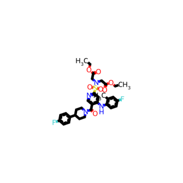 CCOC(=O)CN(CC(=O)OCC)S(=O)(=O)c1cc(Nc2ccc(F)cc2C)c(C(=O)N2CCC(c3ccc(F)cc3)CC2)cn1